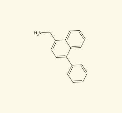 NCc1ccc(-c2ccccc2)c2ccccc12